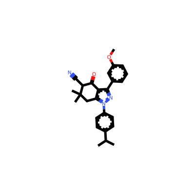 COc1cccc(-c2nn(-c3ccc(C(C)C)cc3)c3c2C(=O)C(C#N)C(C)(C)C3)c1